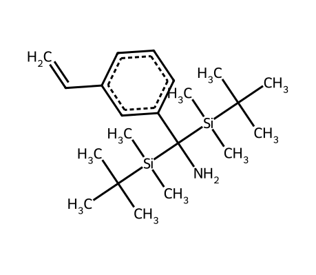 C=Cc1cccc(C(N)([Si](C)(C)C(C)(C)C)[Si](C)(C)C(C)(C)C)c1